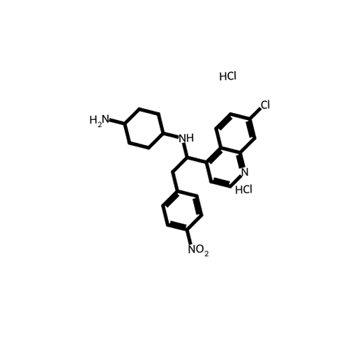 Cl.Cl.NC1CCC(NC(Cc2ccc([N+](=O)[O-])cc2)c2ccnc3cc(Cl)ccc23)CC1